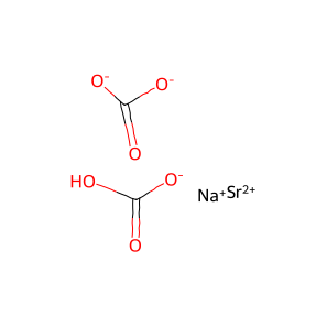 O=C([O-])O.O=C([O-])[O-].[Na+].[Sr+2]